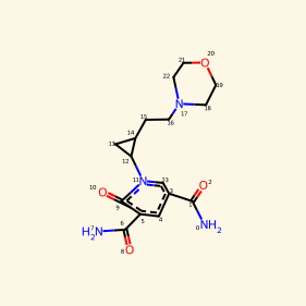 NC(=O)c1cc(C(N)=O)c(=O)n(C2CC2CCN2CCOCC2)c1